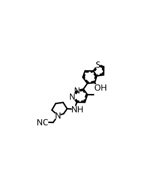 Cc1cc(NC2CCCN(CC#N)C2)nnc1-c1ccc2sccc2c1O